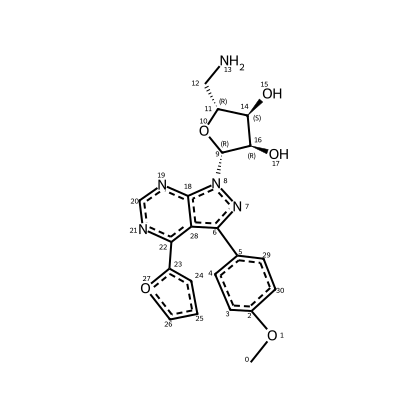 COc1ccc(-c2nn([C@@H]3O[C@H](CN)[C@@H](O)[C@H]3O)c3ncnc(-c4ccco4)c23)cc1